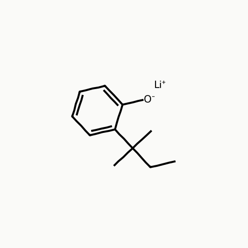 CCC(C)(C)c1ccccc1[O-].[Li+]